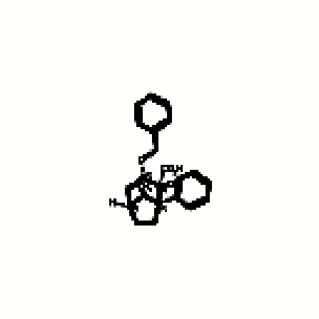 CN1[C@H]2CC[C@@]1(c1ccccc1)[C@@](C)(C(=O)O)[C@@H](OCc1ccccc1)C2